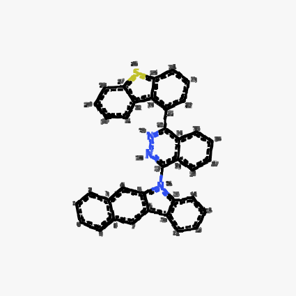 c1ccc2cc3c(cc2c1)c1ccccc1n3-c1nnc(-c2cccc3sc4ccccc4c23)c2ccccc12